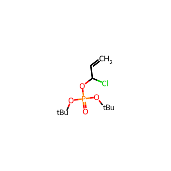 C=CC(Cl)OP(=O)(OC(C)(C)C)OC(C)(C)C